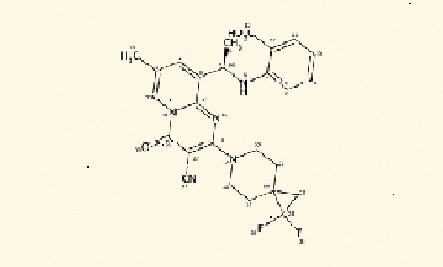 Cc1cc([C@@H](C)Nc2ccccc2C(=O)O)c2nc(N3CCC4(CC3)CC4(F)F)c(C#N)c(=O)n2c1